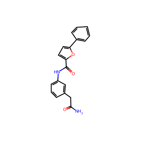 NC(=O)Cc1cccc(NC(=O)c2ccc(-c3ccccc3)o2)c1